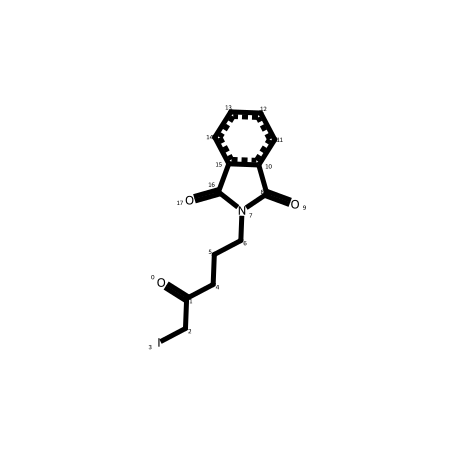 O=C(CI)CCCN1C(=O)c2ccccc2C1=O